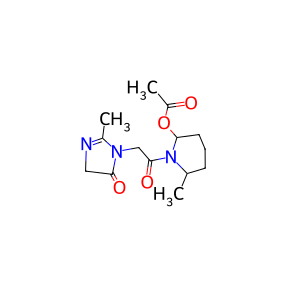 CC(=O)OC1CCCC(C)N1C(=O)CN1C(=O)CN=C1C